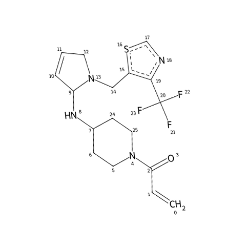 C=CC(=O)N1CCC(NC2C=CCN2Cc2scnc2C(F)(F)F)CC1